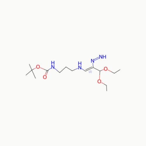 CCOC(OCC)/C(=C/NCCCNC(=O)OC(C)(C)C)N=N